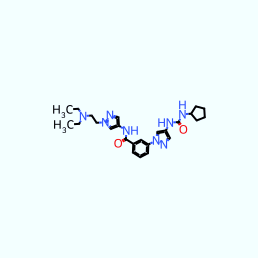 CCN(CC)CCn1cc(NC(=O)c2cccc(-n3cc(NC(=O)NC4CCCC4)cn3)c2)cn1